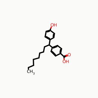 CCCCCCCCC(c1ccc(O)cc1)c1ccc(C(=O)O)cc1